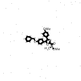 COc1ccc(-c2nc(C(=O)N(C)OC)oc2-c2ccc(OCc3ccccc3)cc2)cc1